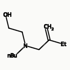 C=C(CC)CN(CCO)CCCC